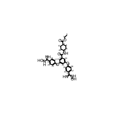 CCOC(=O)C1CCC(NC(=O)c2cc(Oc3ccc(C(=N)NO)cc3)cc(Oc3ccc(C(=N)NO)cc3)c2)CC1